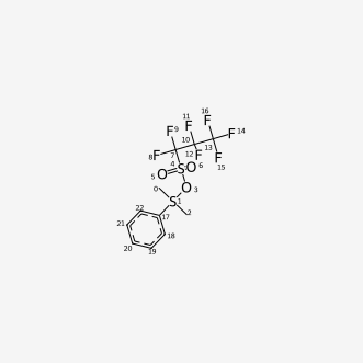 CS(C)(OS(=O)(=O)C(F)(F)C(F)(F)C(F)(F)F)c1ccccc1